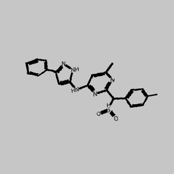 Cc1ccc(C(c2nc(C)cc(Nc3cc(-c4ccccc4)n[nH]3)n2)[SH](=O)=O)cc1